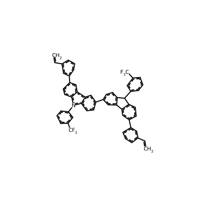 C=Cc1cccc(-c2ccc3c(c2)-c2cc(-c4ccc5c(c4)c4cc(-c6cccc(C=C)c6)ccc4n5-c4cccc(C(F)(F)F)c4)ccc2C3c2cccc(C(F)(F)F)c2)c1